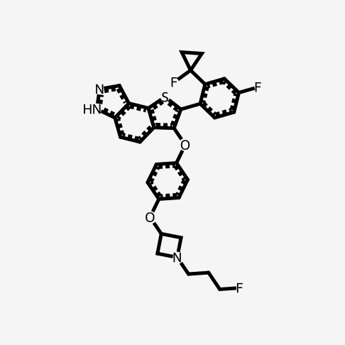 FCCCN1CC(Oc2ccc(Oc3c(-c4ccc(F)cc4C4(F)CC4)sc4c3ccc3[nH]ncc34)cc2)C1